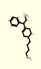 CCCCCC1CC=C(C(CC)c2ccccc2)CC1